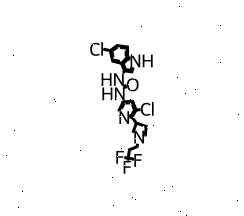 O=C(Nc1cnc(C2CCN(CCC(F)(F)F)C2)c(Cl)c1)Nc1c[nH]c2ccc(Cl)cc12